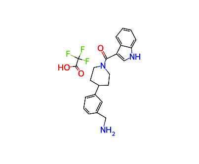 NCc1cccc(C2CCN(C(=O)c3c[nH]c4ccccc34)CC2)c1.O=C(O)C(F)(F)F